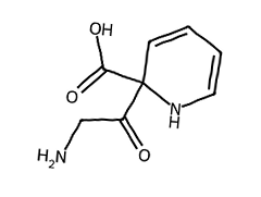 NCC(=O)C1(C(=O)O)C=CC=CN1